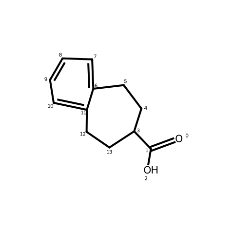 O=C(O)C1CCc2ccccc2CC1